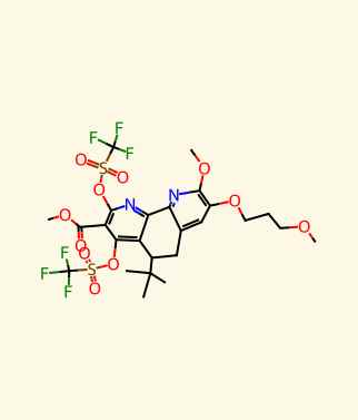 COCCCOc1cc2c(nc1OC)-c1nc(OS(=O)(=O)C(F)(F)F)c(C(=O)OC)c(OS(=O)(=O)C(F)(F)F)c1C(C(C)(C)C)C2